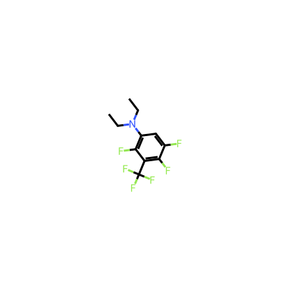 CCN(CC)c1cc(F)c(F)c(C(F)(F)F)c1F